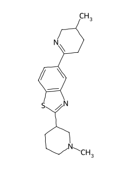 CC1CCC(c2ccc3sc(C4CCCN(C)C4)nc3c2)=NC1